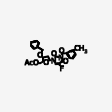 CC(=O)OC[C@@H]1O[C@H](n2cc(F)c(=O)n(C(=O)c3cccc(C)c3)c2=O)CC1OCc1ccccc1